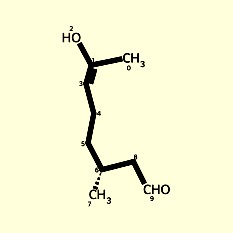 C/C(O)=C\CC[C@@H](C)CC=O